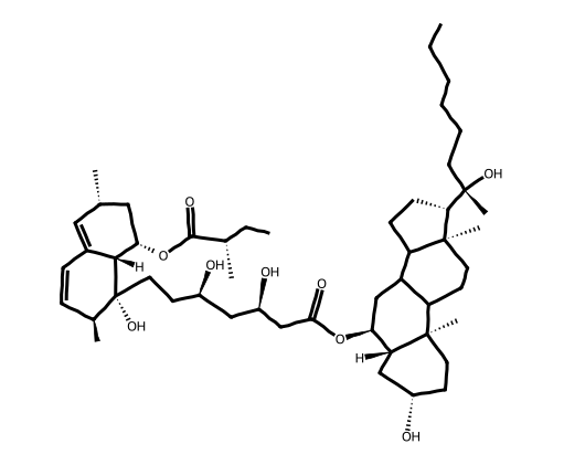 CCCCCC[C@](C)(O)[C@H]1CCC2C3C[C@H](OC(=O)C[C@H](O)C[C@H](O)CC[C@]4(O)[C@@H]5C(=C[C@H](C)C[C@@H]5OC(=O)[C@@H](C)CC)C=C[C@@H]4C)[C@H]4C[C@@H](O)CC[C@]4(C)C3CC[C@@]21C